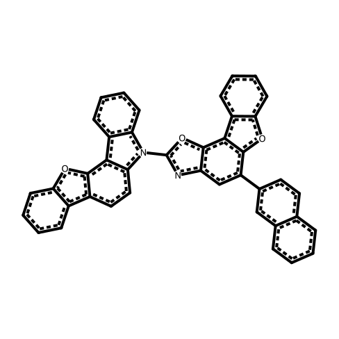 c1ccc2cc(-c3cc4nc(-n5c6ccccc6c6c7oc8ccccc8c7ccc65)oc4c4c3oc3ccccc34)ccc2c1